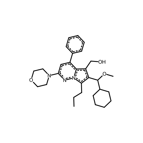 CCCc1c(C(OC)C2CCCCC2)c(CO)c2c(-c3ccccc3)cc(N3CCOCC3)nn12